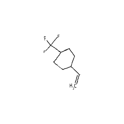 C=[C]C1CCC(C(F)(F)F)CC1